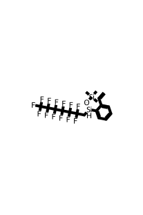 C=Cc1ccccc1[SiH](CC(F)(F)C(F)(F)C(F)(F)C(F)(F)C(F)(F)C(F)(F)F)O[Si](C)(C)C